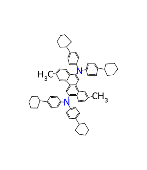 Cc1ccc2c(N(c3ccc(C4CCCCC4)cc3)c3ccc(C4CCCCC4)cc3)cc3c4cc(C)ccc4c(N(c4ccc(C5CCCCC5)cc4)c4ccc(C5CCCCC5)cc4)cc3c2c1